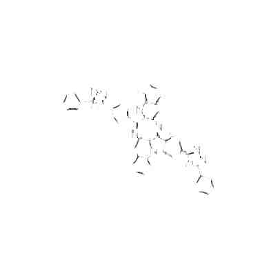 c1ccc(-c2nnc(-c3ccc(/C4=N/c5cc6ccccc6nc5/C(c5ccc(-c6nnc(-c7ccccc7)o6)cc5)=N\c5cc6ccccc6nc54)cc3)o2)cc1